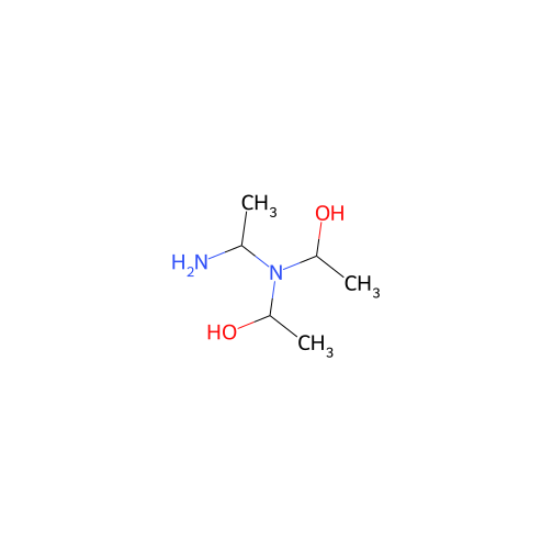 CC(N)N(C(C)O)C(C)O